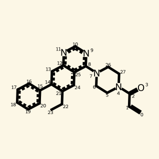 C=CC(=O)N1CCN(c2ncnc3cc(-c4ccccc4)c(CC)cc23)CC1